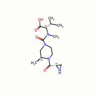 CC(C)[C@@H](C(=O)O)N(C)C(=O)N1CCN(C(=O)[C@@H]2CN2)[C@@H](C)C1